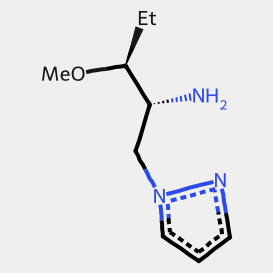 CC[C@H](OC)[C@H](N)Cn1cccn1